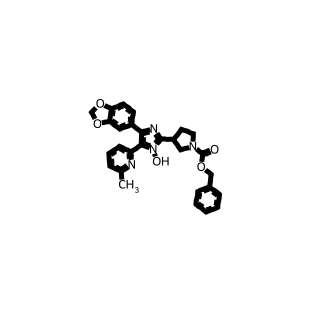 Cc1cccc(-c2c(-c3ccc4c(c3)OCO4)nc(C3CCN(C(=O)OCc4ccccc4)C3)n2O)n1